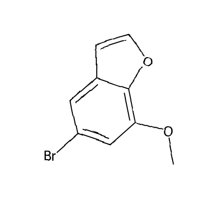 COc1cc(Br)cc2ccoc12